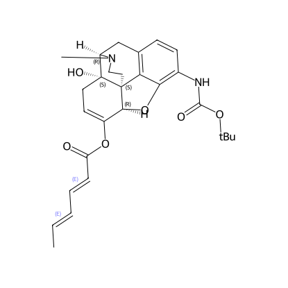 C/C=C/C=C/C(=O)OC1=CC[C@@]2(O)[C@H]3Cc4ccc(NC(=O)OC(C)(C)C)c5c4[C@@]2(CCN3C)[C@H]1O5